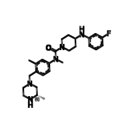 Cc1cc(N(C)C(=O)N2CCC(Nc3cccc(F)c3)CC2)ccc1CN1CCN[C@@H](C)C1